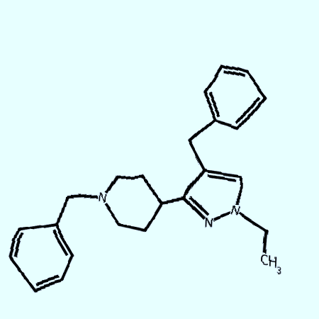 CCn1cc(Cc2ccccc2)c(C2CCN(Cc3ccccc3)CC2)n1